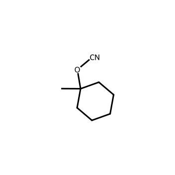 CC1(OC#N)CCCCC1